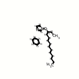 CCCCCCCCCCCC(CC)On1ccnc1.c1ccccc1